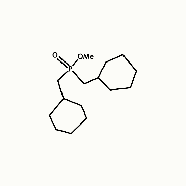 COP(=O)(CC1CCCCC1)CC1CCCCC1